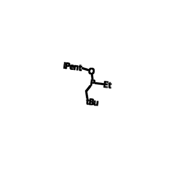 CCCC(C)OP(CC)CC(C)(C)C